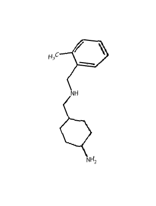 Cc1ccccc1CNCC1CCC(N)CC1